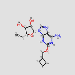 N#CC[C@H]1O[C@@H](n2cnc3c(N)nc(OCC4CCC4)nc32)[C@H](O)[C@@H]1O